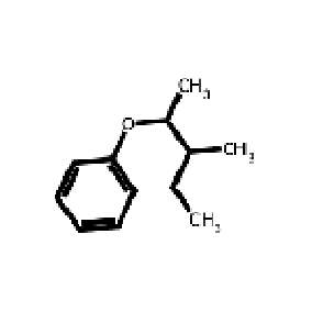 CCC(C)C(C)Oc1ccccc1